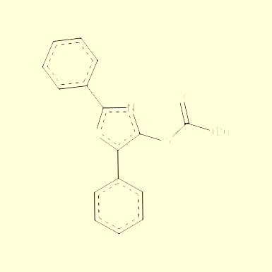 CC(C)(C)C(=O)Oc1nc(-c2ccccc2)sc1-c1ccccc1